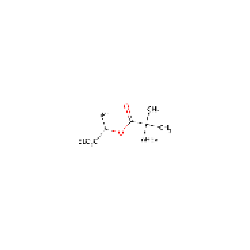 CCCCCCC(C)(C)C(=O)OC(C(=O)OCC)C(C)C